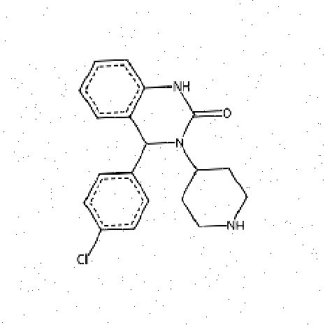 O=C1Nc2ccccc2C(c2ccc(Cl)cc2)N1C1CCNCC1